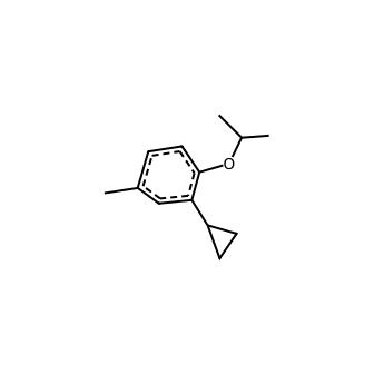 Cc1ccc(OC(C)C)c(C2CC2)c1